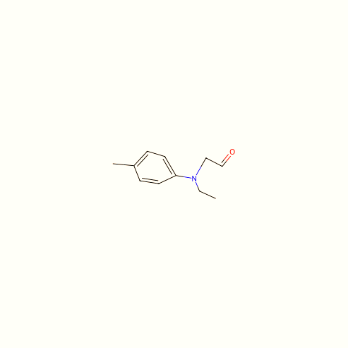 CCN(CC=O)c1ccc(C)cc1